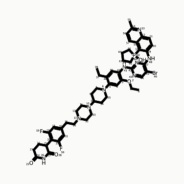 CCOc1cc(N2CCC(N3CCN(CCc4cc(F)c(C5CCC(=O)NC5=O)c(F)c4)CC3)CC2)c(CC)cc1Nc1ncc(Br)c(Nc2ccc3nc(C)ccc3c2[P]2(O)CCCC2)n1